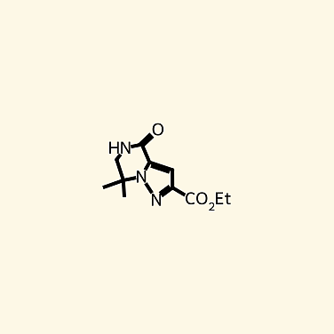 CCOC(=O)c1cc2n(n1)C(C)(C)CNC2=O